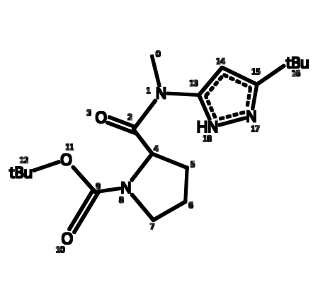 CN(C(=O)C1CCCN1C(=O)OC(C)(C)C)c1cc(C(C)(C)C)n[nH]1